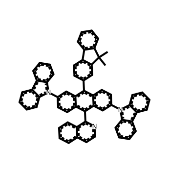 CC1(C)c2ccccc2-c2ccc(-c3c4cc(-n5c6ccccc6c6ccccc65)ccc4c(-c4nccc5ccccc45)c4cc(-n5c6ccccc6c6ccccc65)ccc34)cc21